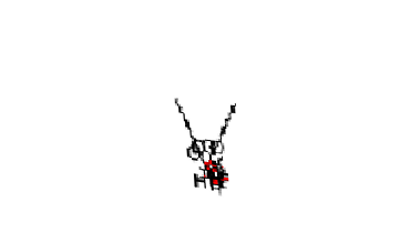 CCCCCCCCCCCCOC(=O)CCc1cc(C(C)CC)c(OP(O)(F)(Oc2c(C(C)CC)cc(CCC(=O)OCCCCCCCCCCCC)cc2C(C)CC)C(F)(F)F)c(C(C)CC)c1